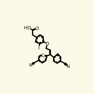 N#Cc1ccc(C(=CCOc2ccc(CC(=O)O)cc2I)c2ccc(C#N)cc2)cc1